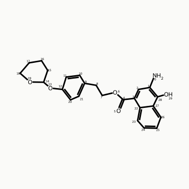 Nc1cc(C(=O)OCCc2ccc(OC3CCCCO3)cc2)c2ccccc2c1O